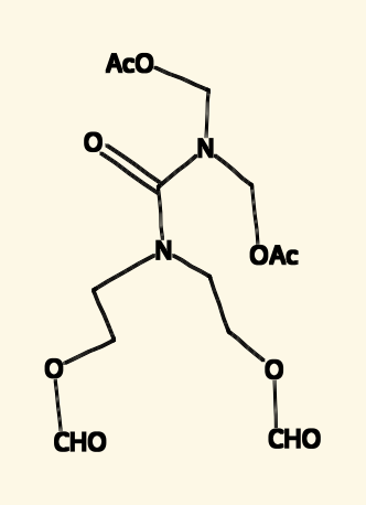 CC(=O)OCN(COC(C)=O)C(=O)N(CCOC=O)CCOC=O